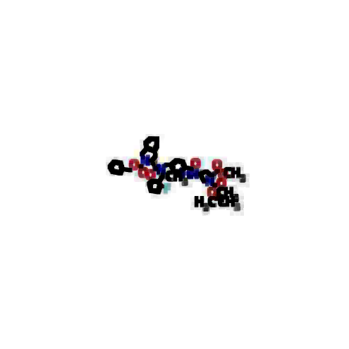 COC(=O)[C@@H]1C[C@H](NC(=O)c2ccc(CN(C(=O)[C@@H]3Cc4ccccc4CN3C(=O)OCc3ccccc3)[C@H](C)c3ccccc3F)cc2)CN1C(=O)OC(C)(C)C